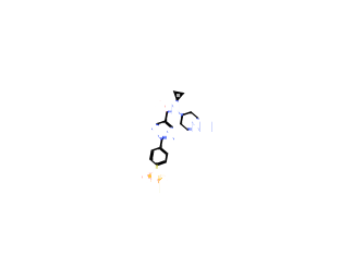 O=C(c1cnc(-c2ccc([SH](=O)=O)cc2)nc1)N(C1CCNCC1)C1CC1